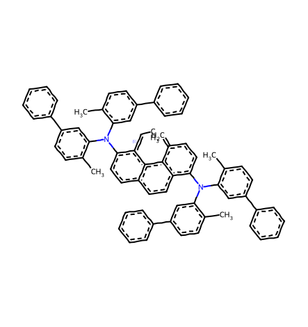 C=c1ccc(N(c2cc(-c3ccccc3)ccc2C)c2cc(-c3ccccc3)ccc2C)c2ccc3ccc(N(c4cc(-c5ccccc5)ccc4C)c4cc(-c5ccccc5)ccc4C)/c(=C/C)c3c12